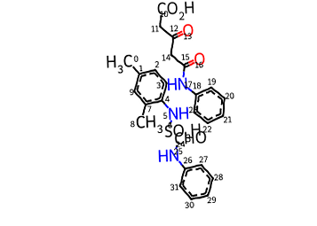 Cc1ccc(NS(=O)(=O)O)c(C)c1.O=C(O)CC(=O)CC(=O)Nc1ccccc1.O=CNc1ccccc1